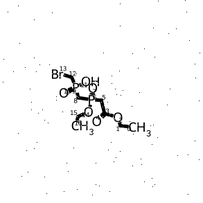 CCOC(=O)CP(=O)(CP(=O)(O)CBr)OCC